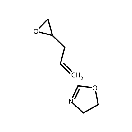 C1=NCCO1.C=CCC1CO1